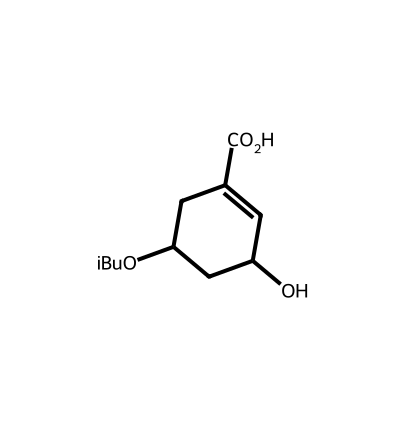 CC(C)COC1CC(C(=O)O)=CC(O)C1